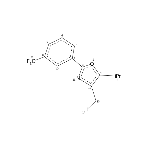 CC(C)c1oc(-c2cccc(C(F)(F)F)c2)nc1CI